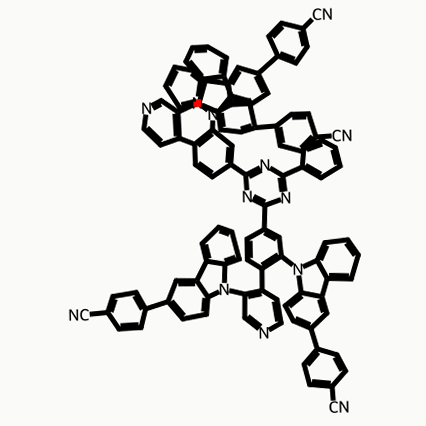 N#Cc1ccc(-c2ccc3c(c2)c2ccccc2n3-c2cnccc2-c2ccc(-c3nc(-c4ccccc4)nc(-c4ccc(-c5ccncc5-n5c6ccccc6c6cc(-c7ccc(C#N)cc7)ccc65)c(-n5c6ccccc6c6cc(-c7ccc(C#N)cc7)ccc65)c4)n3)cc2-n2c3ccccc3c3cc(-c4ccc(C#N)cc4)ccc32)cc1